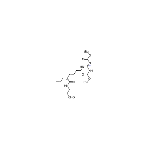 C=CC[C@H](CCCCN/C(=N\C(=O)OC(C)(C)C)NC(=O)OC(C)(C)C)C(=O)NCCC=O